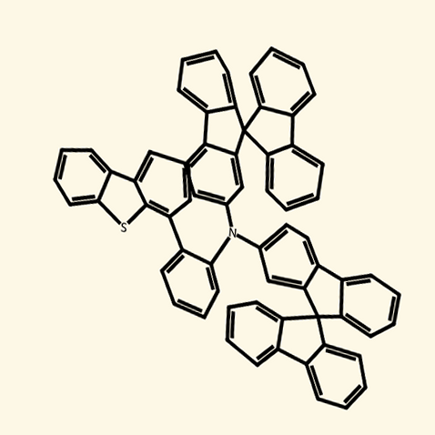 c1ccc(N(c2ccc3c(c2)C2(c4ccccc4-c4ccccc42)c2ccccc2-3)c2ccc3c(c2)C2(c4ccccc4-c4ccccc42)c2ccccc2-3)c(-c2cccc3c2sc2ccccc23)c1